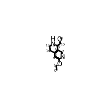 CCOc1cc2c(cn1)C(C=O)NCC2